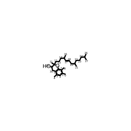 Cc1cc(C)c2c(c1C)OC(C)(CCCC(C)C=CCC(C)CCCC(C)C)C(O)C2